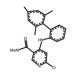 CNC(=O)c1cnc(Cl)cc1Nc1ccccc1-c1c(C)cc(C)cc1C